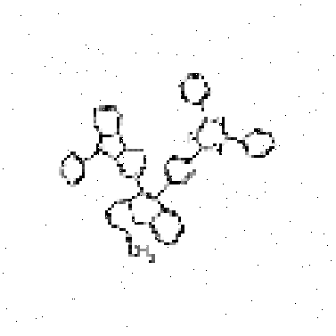 C=C/C=C\C=C1/Cc2ccccc2C(c2ccc(-c3nc(-c4ccccc4)nc(-c4ccccc4)n3)cc2)=C1c1ccc2c3ccccc3n(-c3ccccc3)c2c1